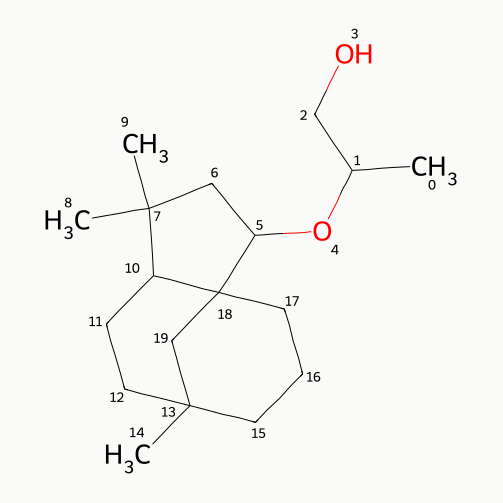 CC(CO)OC1CC(C)(C)C2CCC3(C)CCCC12C3